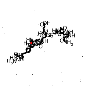 CO[C@@]12[C@H](COC(N)=O)C3=C(C(=O)C(C)=C(NC(C)(C)CCSSC[C@H](CC(=O)[C@H](CCCNC(=N)N)NC(C)(C)C(=O)CC[C@H](CC(=O)c4ccc(CCc5cnc6nc(N)[nH]c(=O)c6n5)cc4)C(=O)O)C(=O)N[C@@H](C)C(=O)CCC(=O)O)C3=O)N1C[C@@H]1N[C@@H]12